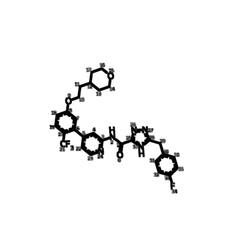 O=C(Nc1cc(-c2cc(OCCC3CCOCC3)ccc2C(F)(F)F)ccn1)c1nnc(Cc2ccc(F)cc2)[nH]1